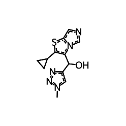 Cn1cc(C(O)c2c(C3CC3)sc3cncn23)nn1